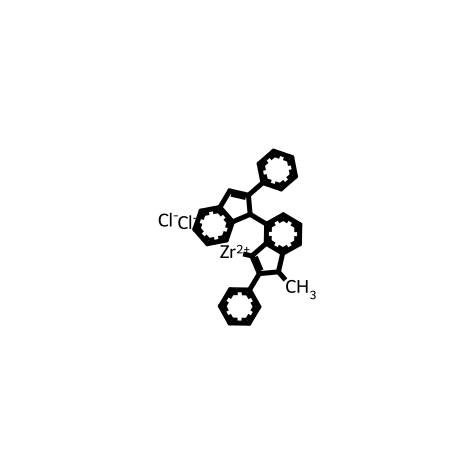 CC1C(c2ccccc2)=[C]([Zr+2])c2c1cccc2C1C(c2ccccc2)=Cc2ccccc21.[Cl-].[Cl-]